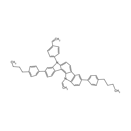 C=Cc1ccc(-n2c3cc(-c4ccc(CCCC)cc4)ccc3c3c4c(ccc32)c2cc(-c3ccc(CCCC)cc3)ccc2n4C=C)cc1